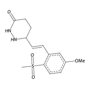 COc1ccc(S(C)(=O)=O)c(/C=C/C2CCC(=O)NN2)c1